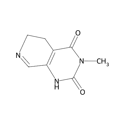 Cn1c(=O)[nH]c2c(c1=O)CCN=C2